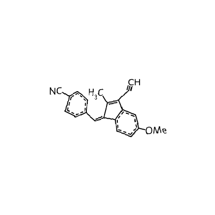 C#CC1=C(C)C(=Cc2ccc(C#N)cc2)c2ccc(OC)cc21